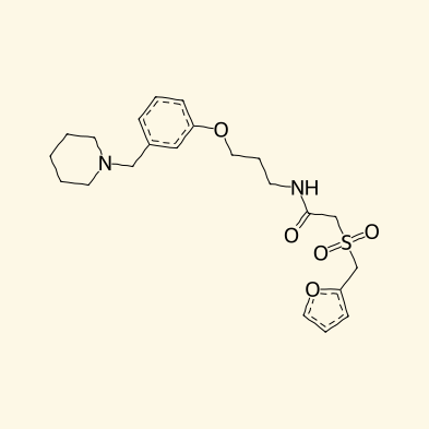 O=C(CS(=O)(=O)Cc1ccco1)NCCCOc1cccc(CN2CCCCC2)c1